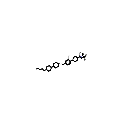 CCCCCC1CCC(C2CCC(OCc3ccc(C4CCC(/C(F)=C/C(F)(F)F)CC4)c(F)c3)CC2)CC1